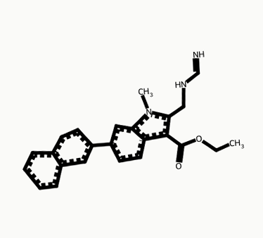 CCOC(=O)c1c(CNC=N)n(C)c2cc(-c3ccc4ccccc4c3)ccc12